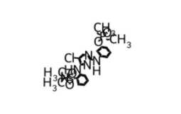 CCP(=O)(CC)Oc1cccc(Nc2ncc(Cl)c(Nc3ccccc3S(=O)(=O)N(C)C)n2)c1